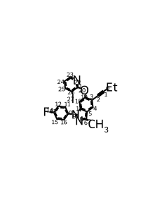 CCC#Cc1cc2c(C)nn(-c3ccc(F)cc3)c2cc1Oc1ncccc1I